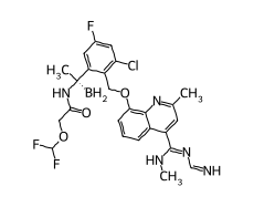 B[C@@](C)(NC(=O)COC(F)F)c1cc(F)cc(Cl)c1COc1cccc2c(/C(=N/C=N)NC)cc(C)nc12